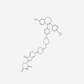 O=C1CCC(N2CC3=CC(N4CCN(CC5CCN(c6ccc(C7=C(c8ccc(C9CC9)nc8)CCCc8cc(O)ccc87)cc6)CC5)CC4)CC=C3C2=O)C(=O)N1